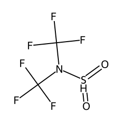 O=[SH](=O)N(C(F)(F)F)C(F)(F)F